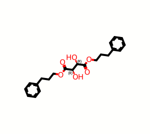 O=C(OCCCc1ccccc1)[C@H](O)[C@@H](O)C(=O)OCCCc1ccccc1